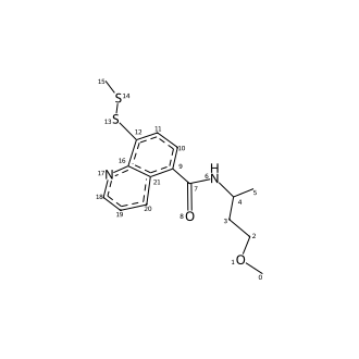 COCCC(C)NC(=O)c1ccc(SSC)c2ncccc12